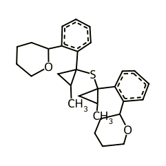 CC1CC1(SC1(c2ccccc2C2CCCCO2)CC1C)c1ccccc1C1CCCCO1